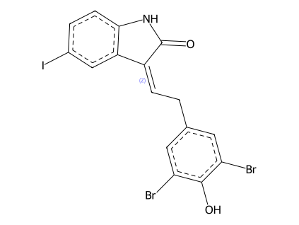 O=C1Nc2ccc(I)cc2/C1=C/Cc1cc(Br)c(O)c(Br)c1